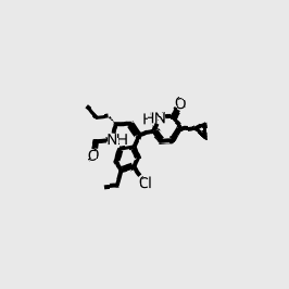 CCC[C@H](/C=C(\c1ccc(CC)c(Cl)c1)c1ccc(C2CC2)c(=O)[nH]1)NC=O